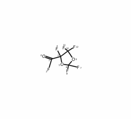 O=C(F)C1(F)OC(F)(F)OC1(F)F